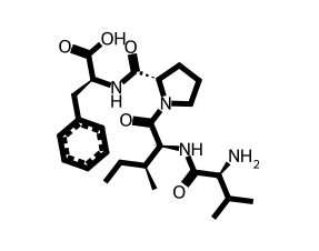 CC[C@H](C)[C@H](NC(=O)[C@@H](N)C(C)C)C(=O)N1CCC[C@H]1C(=O)N[C@@H](Cc1ccccc1)C(=O)O